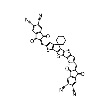 N#Cc1cc2c(cc1C#N)C(=O)C(=Cc1cc3c(s1)-c1sc4c(sc5cc(C=C6C(=O)c7cc(C#N)c(C#N)cc7C6=O)sc54)c1C31CCCCC1)C2=O